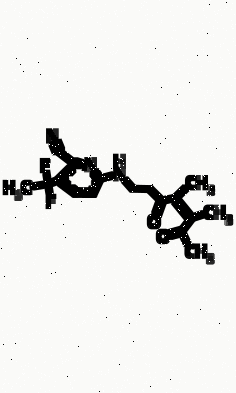 CC(=O)/C(C)=C(/C)C(=O)CCNc1ccc(C(C)(F)F)c(C#N)n1